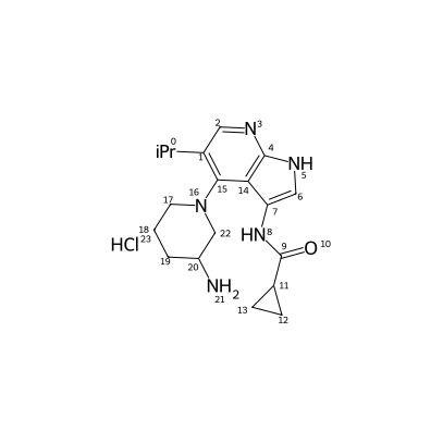 CC(C)c1cnc2[nH]cc(NC(=O)C3CC3)c2c1N1CCCC(N)C1.Cl